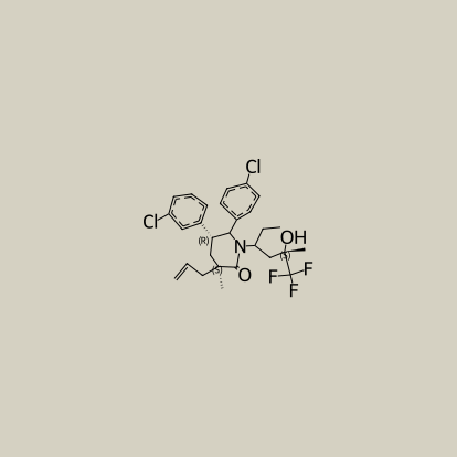 C=CC[C@@]1(C)C[C@H](c2cccc(Cl)c2)C(c2ccc(Cl)cc2)N(C(CC)C[C@](C)(O)C(F)(F)F)C1=O